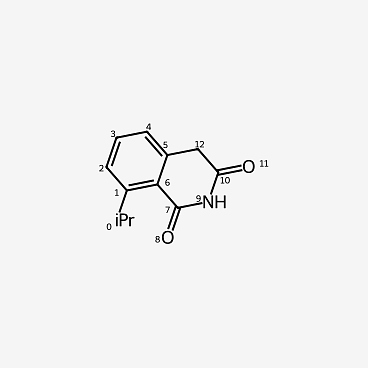 CC(C)c1cccc2c1C(=O)NC(=O)C2